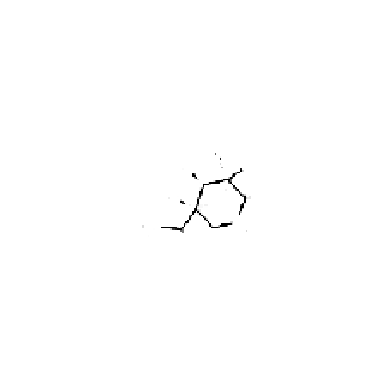 N[C@]1(O)[CH]OC[C@](O)(CC(=O)O)[C@H]1O